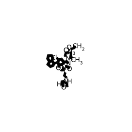 C=CC(=O)N1C[C@H](C)N(c2nc(=O)n3c4c(c(-c5cccc6ccccc56)c(Cl)cc24)OC[C@H]3CCCN2C[C@@H]3C[C@H]2CO3)C[C@H]1C